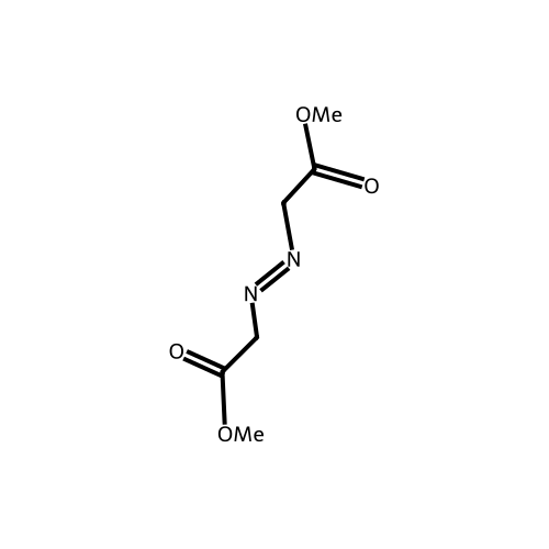 COC(=O)CN=NCC(=O)OC